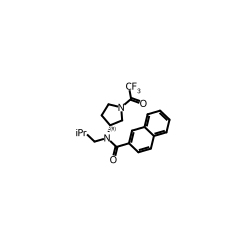 CC(C)CN(C(=O)c1ccc2ccccc2c1)[C@@H]1CCN(C(=O)C(F)(F)F)C1